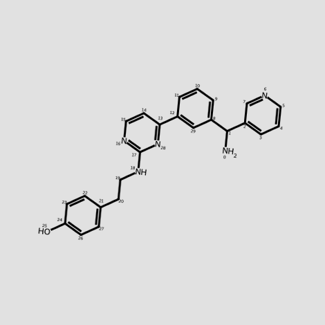 NC(c1cccnc1)c1cccc(-c2ccnc(NCCc3ccc(O)cc3)n2)c1